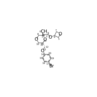 C[C@]1(COC2COC2)COC[C@@H](COc2ccc(Br)cc2)O1